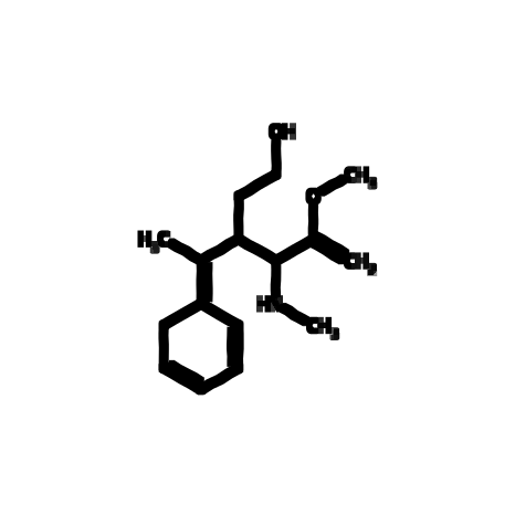 C=C(OC)C(NC)C(CCO)/C(C)=C1\C=CC=CC1